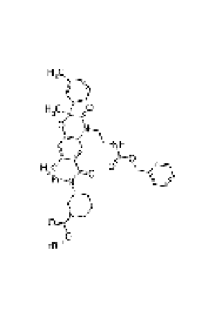 Cc1cccc(C2(C)Oc3cc(C)c(C(=O)N(C(C)C)[C@@H]4CCCN(C(=O)OC(C)(C)C)C4)cc3N(CCNC(=O)OCc3ccccc3)C2=O)c1